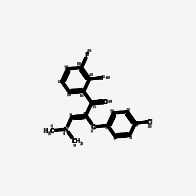 CN(C)C=C(Oc1ccc(Cl)cc1)C(=O)c1cccc(F)c1F